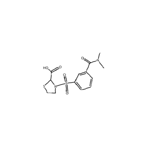 CN(C)C(=O)c1cccc(S(=O)(=O)N2CCSC2C(=O)O)c1